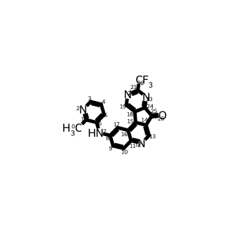 Cc1ncccc1Nc1ccc2ncc3c(c2c1)-c1cnc(C(F)(F)F)nc1C3=O